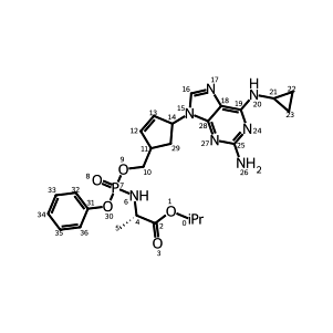 CC(C)OC(=O)[C@H](C)NP(=O)(OCC1C=CC(n2cnc3c(NC4CC4)nc(N)nc32)C1)Oc1ccccc1